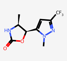 C[C@@H]1NC(=O)O[C@@H]1c1cc(C(F)(F)F)nn1C